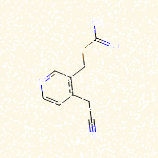 N#CCc1ccncc1CSC(=N)N